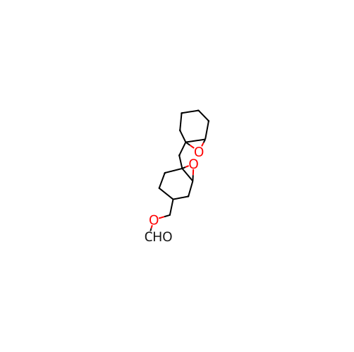 O=COCC1CCC2(CC34CCCCC3O4)OC2C1